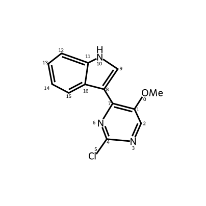 COc1cnc(Cl)nc1-c1c[nH]c2ccccc12